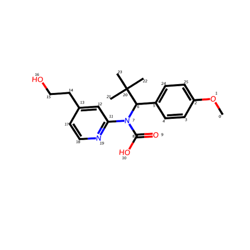 COc1ccc(C(N(C(=O)O)c2cc(CCO)ccn2)C(C)(C)C)cc1